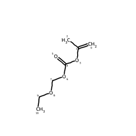 C=C(C)OC(=O)OCOCC